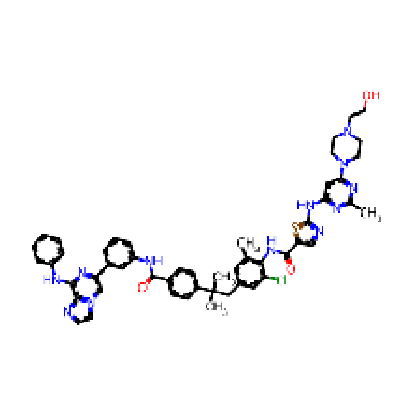 Cc1nc(Nc2ncc(C(=O)Nc3c(C)cc(CC(C)(C)c4ccc(C(=O)Nc5cccc(-c6cn7ccnc7c(Nc7ccccc7)n6)c5)cc4)cc3Cl)s2)cc(N2CCN(CCO)CC2)n1